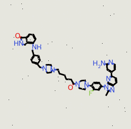 Cc1nc2ccc(-c3ccnc(N)c3)nc2n1-c1ccc(N2CCN(C(=O)CCCCCN3CCN(Cc4ccc(CNc5cccc6c5CNC6=O)cc4)CC3)CC2)c(F)c1